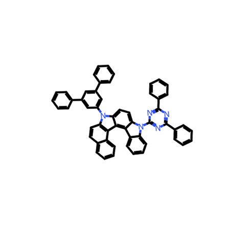 c1ccc(-c2cc(-c3ccccc3)cc(-n3c4ccc5ccccc5c4c4c5c6ccccc6n(-c6nc(-c7ccccc7)nc(-c7ccccc7)n6)c5ccc43)c2)cc1